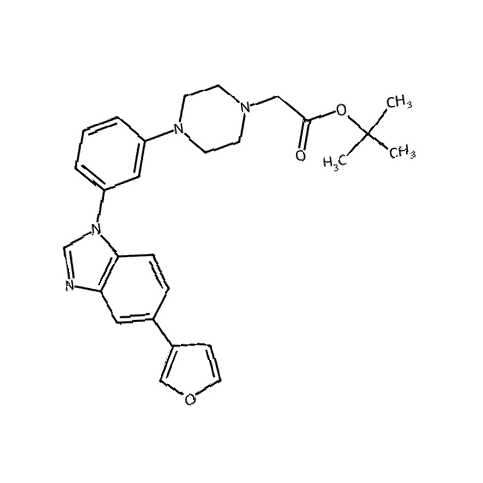 CC(C)(C)OC(=O)CN1CCN(c2cccc(-n3cnc4cc(-c5ccoc5)ccc43)c2)CC1